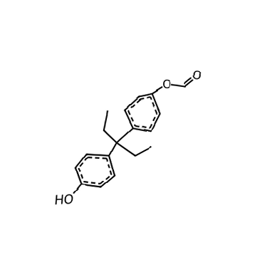 CCC(CC)(c1ccc(O)cc1)c1ccc(OC=O)cc1